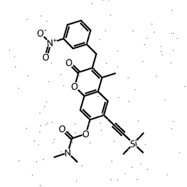 Cc1c(Cc2cccc([N+](=O)[O-])c2)c(=O)oc2cc(OC(=O)N(C)C)c(C#C[Si](C)(C)C)cc12